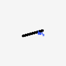 CCCCCCCCCCCCCCN(N)CCCC